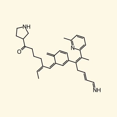 C=c1ccc(/C(C/C=C/C=N)=C(/C)c2cccc(C)n2)c/c1=C/C(=C\C)CCCC(=O)C1CCNC1